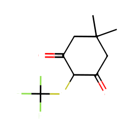 CC1(C)CC(=O)C(SC(F)(F)F)C(=O)C1